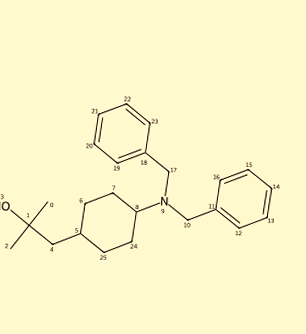 CC(C)(O)CC1CCC(N(Cc2ccccc2)Cc2ccccc2)CC1